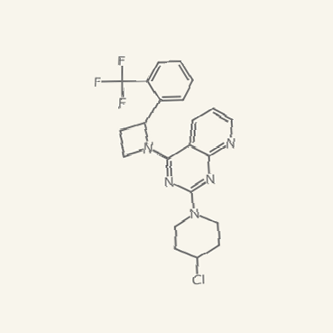 FC(F)(F)c1ccccc1C1CCN1c1nc(N2CCC(Cl)CC2)nc2ncccc12